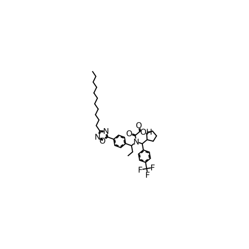 CCCCCCCCCCCc1noc(-c2ccc(C(CC)N(C(=O)C(=O)O)C(c3ccc(C(F)(F)F)cc3)C3CCCC3)cc2)n1